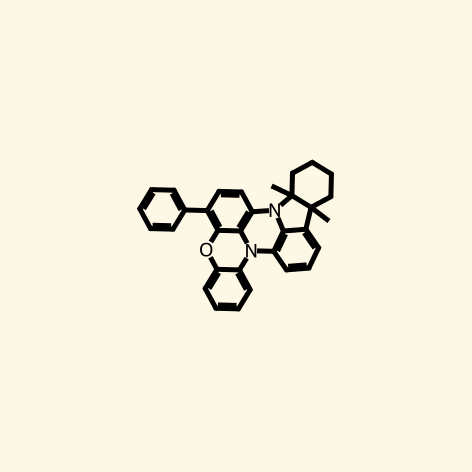 CC12CCCCC1(C)N1c3ccc(-c4ccccc4)c4c3N(c3ccccc3O4)c3cccc2c31